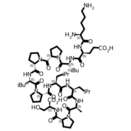 CC[C@H](C)[C@H](NC(=O)[C@@H]1CCCN1C(=O)[C@@H]1CCCN1C(=O)[C@@H](NC(=O)[C@H](CCC(=O)O)NC(=O)[C@@H](N)CCCCN)[C@@H](C)CC)C(=O)N1CCC[C@H]1C(=O)N[C@@H](CC(C)C)C(=O)N[C@@H](CC(C)C)C(=O)N[C@@H](C)C(=O)N1CCC[C@H]1C(=O)N[C@@H](CO)C(=O)O